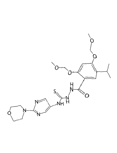 COCOc1cc(OCOC)c(C(C)C)cc1C(=O)NNC(=S)Nc1cnc(N2CCOCC2)nc1